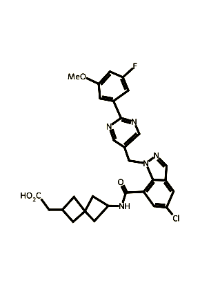 COc1cc(F)cc(-c2ncc(Cn3ncc4cc(Cl)cc(C(=O)NC5CC6(CC(CC(=O)O)C6)C5)c43)cn2)c1